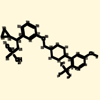 COc1cnc(C(F)(F)F)c(C2CCC(COc3cccc([C@@H](CP(C)(=O)O)C4CC4)c3)CC2)c1